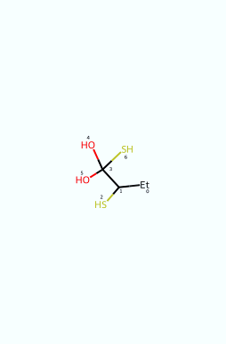 CCC(S)C(O)(O)S